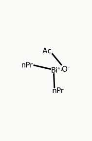 CC(=O)[O-].CC[CH2][Bi+][CH2]CC